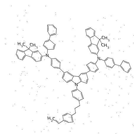 C=Cc1ccc(CCCc2ccc(-n3c4ccc(-c5ccc(N(c6ccc(-c7ccccc7)cc6)c6ccc7c(c6)C(C)(C)c6ccccc6-7)cc5)cc4c4cc(-c5ccc(N(c6ccc(-c7ccccc7)cc6)c6ccc7c(c6)C(C)(C)c6ccccc6-7)cc5)ccc43)cc2)cc1